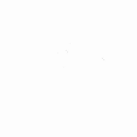 N#Cc1ccc(Oc2cc(Cl)cc(Cl)c2)c([N+](=O)[O-])c1